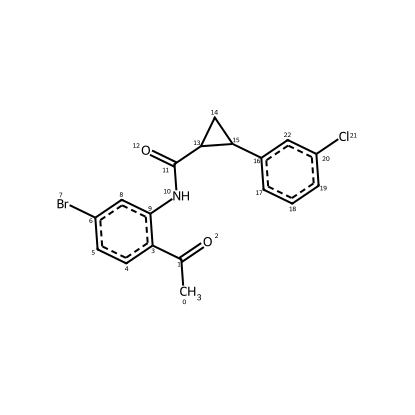 CC(=O)c1ccc(Br)cc1NC(=O)C1CC1c1cccc(Cl)c1